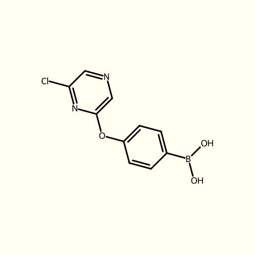 OB(O)c1ccc(Oc2cncc(Cl)n2)cc1